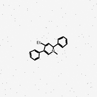 CCC1=CC(c2ccccc2)N(C)C=C1c1ccccc1